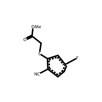 COC(=O)CSc1cc(F)ccc1C#N